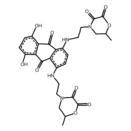 CC1CN(CCNc2ccc(NCCN3CC(C)OC(=O)C3=O)c3c2C(=O)c2c(O)ccc(O)c2C3=O)C(=O)C(=O)O1